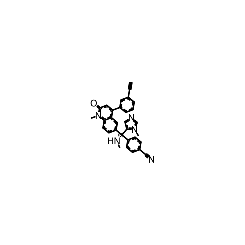 C#Cc1cccc(-c2cc(=O)n(C)c3ccc([C@](NC)(c4ccc(C#N)cc4)c4cncn4C)cc23)c1